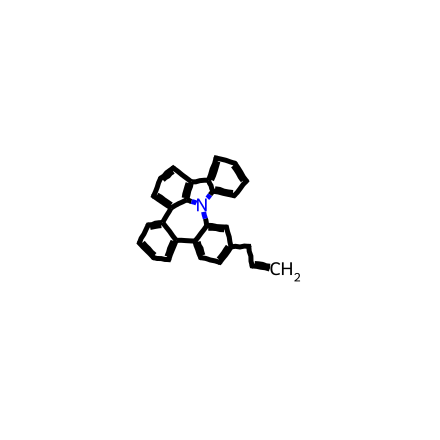 C=CCc1ccc2c(c1)-n1c3ccccc3c3cccc(c31)-c1ccccc1-2